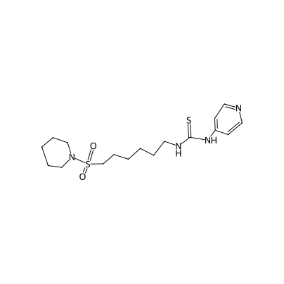 O=S(=O)(CCCCCCNC(=S)Nc1ccncc1)N1CCCCC1